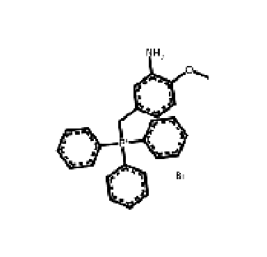 COc1ccc(C[P+](c2ccccc2)(c2ccccc2)c2ccccc2)cc1N.[Br-]